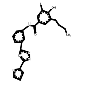 CCCCc1cc(C(=O)Nc2cccc(-c3nnc(-c4ccco4)o3)c2)cc(I)c1O